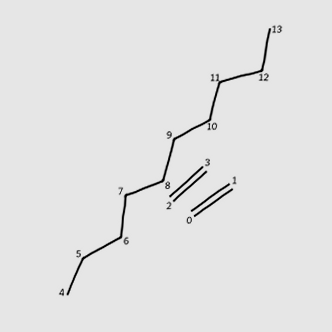 C=C.C=C.CCCCCCCCCC